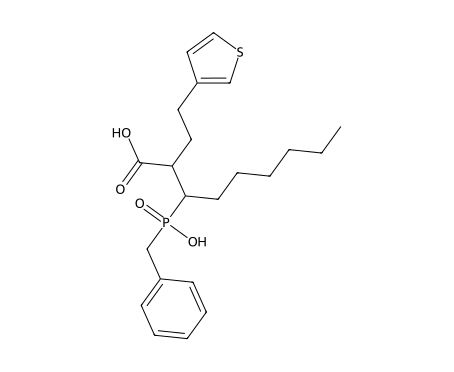 CCCCCCC(C(CCc1ccsc1)C(=O)O)P(=O)(O)Cc1ccccc1